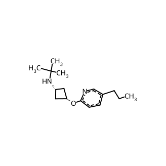 CCCc1ccc(O[C@H]2C[C@@H](NC(C)(C)C)C2)nc1